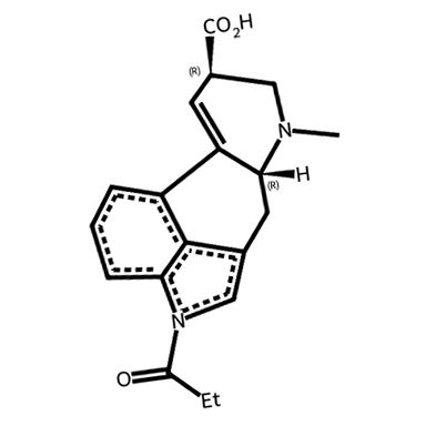 CCC(=O)n1cc2c3c(cccc31)C1=C[C@@H](C(=O)O)CN(C)[C@@H]1C2